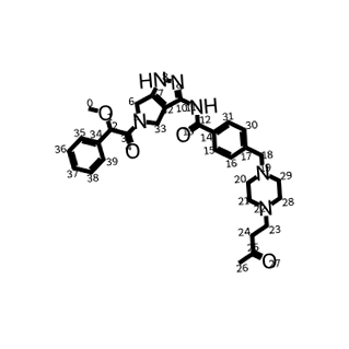 COC(C(=O)N1Cc2[nH]nc(NC(=O)c3ccc(CN4CCN(CCC(C)=O)CC4)cc3)c2C1)c1ccccc1